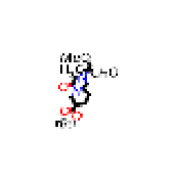 COCC(C)(C=O)N1CC(=O)N2CC(C(=O)OC(C)(C)C)CCC2C1